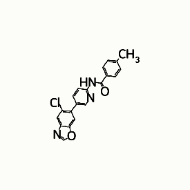 Cc1ccc(C(=O)Nc2ccc(-c3cc4ocnc4cc3Cl)cn2)cc1